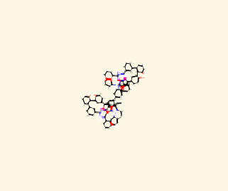 C=Cc1c(/C=C\C)n(-c2ccccc2)c2ccc(-c3ccc4oc5cccc(-c6cccc(-c7nc(-c8ccccc8)cc(-c8ccc(-c9ccc%10c%11cc(-c%12ccc%13oc%14cccc(-c%15cccc(-c%16nc(-c%17ccccc%17)nc(-c%17ccccc%17)n%16)c%15)c%14c%13c%12)ccc%11n(-c%11ccccc%11)c%10c9)cc8)n7)c6)c5c4c3)cc12